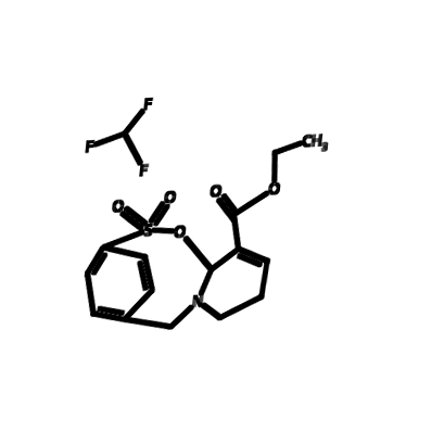 CCOC(=O)C1=CCCN2Cc3ccc(cc3)S(=O)(=O)OC12.FC(F)F